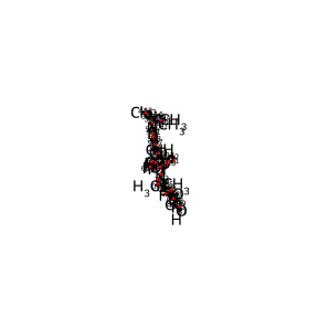 CC1CN(CC[C@H](CSc2ccccc2)Nc2ccc(S(=O)(=O)NC(=O)c3ccc(N4CCN(CC5=C(c6ccc(Cl)cc6)CCC(C)(C)C5)CC4)cc3)cc2S(=O)(=O)C(F)(F)F)CC(C)N1Cc1ccc2c(c1F)CN(C1CCC(=O)NC1=O)C2=O